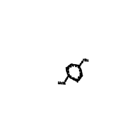 [CH2]Nc1ccc(CCCC)cc1